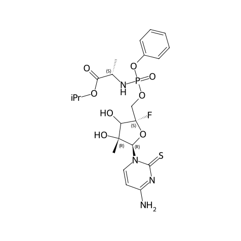 CC(C)OC(=O)[C@H](C)NP(=O)(OC[C@@]1(F)O[C@@H](n2ccc(N)nc2=S)[C@](C)(O)C1O)Oc1ccccc1